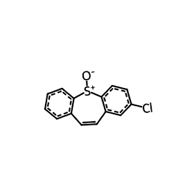 [O-][S+]1c2ccccc2C=Cc2cc(Cl)ccc21